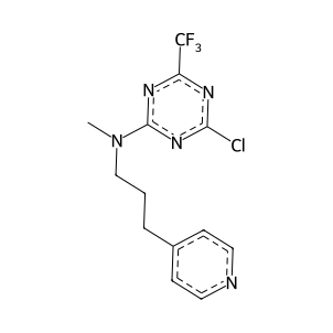 CN(CCCc1ccncc1)c1nc(Cl)nc(C(F)(F)F)n1